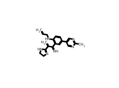 C=CCNc1ccc(-c2cnc(C)nc2)cc1C(=N)C(=C)C1=NCCN1